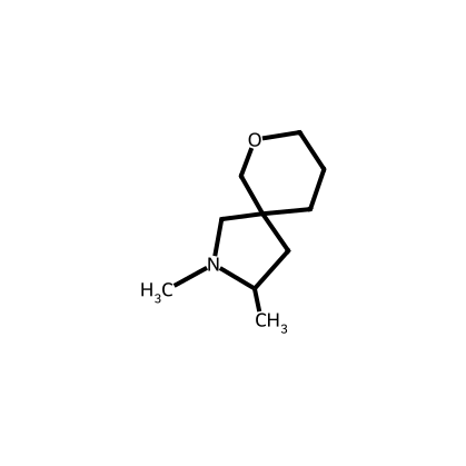 CC1CC2(CCCOC2)CN1C